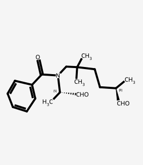 C[C@@H](C=O)CCC(C)(C)CN(C(=O)c1ccccc1)[C@@H](C)C=O